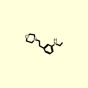 CCNc1cccc(CCN2CCOCC2)c1